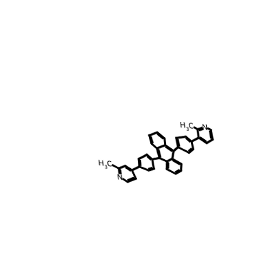 Cc1cc(-c2ccc(-c3c4ccccc4c(-c4ccc(-c5cccnc5C)cc4)c4ccccc34)cc2)ccn1